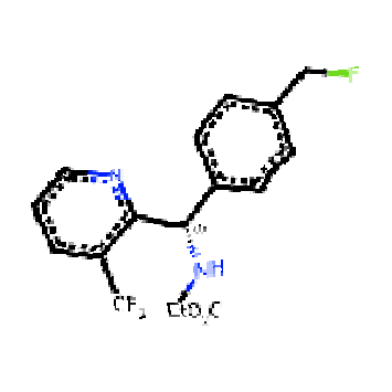 CCOC(=O)N[C@@H](c1ccc(CF)cc1)c1ncccc1C(F)(F)F